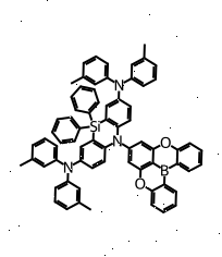 Cc1cccc(N(c2cccc(C)c2)c2ccc3c(c2)[Si](c2ccccc2)(c2ccccc2)c2cc(N(c4cccc(C)c4)c4cccc(C)c4)ccc2N3c2cc3c4c(c2)Oc2ccccc2B4c2ccccc2O3)c1